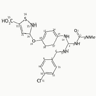 CNC(=O)NC(NCc1ccc(Cl)cc1)NC1=CC=C(OC2C=C(C(=O)O)SN2)CC1